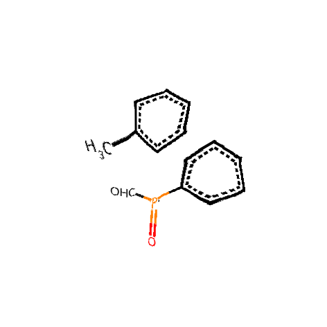 Cc1ccccc1.O=C[P](=O)c1ccccc1